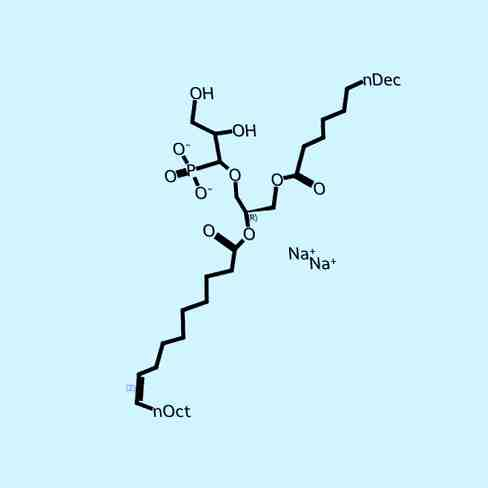 CCCCCCCC/C=C\CCCCCCCC(=O)O[C@H](COC(=O)CCCCCCCCCCCCCCC)COC(C(O)CO)P(=O)([O-])[O-].[Na+].[Na+]